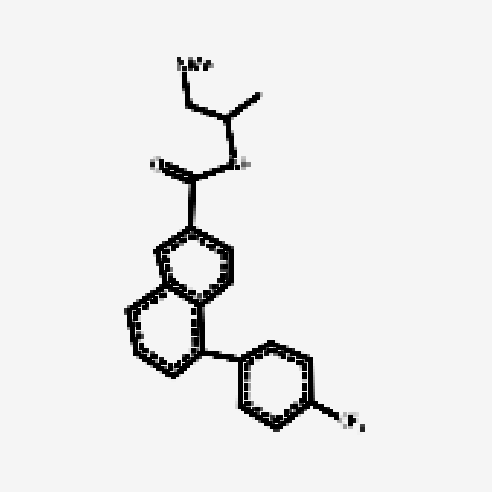 CNCC(C)NC(=O)c1ccc2c(-c3ccc(C(F)(F)F)cc3)cccc2c1